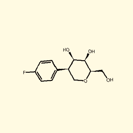 OC[C@H]1OC[C@@H](c2ccc(F)cc2)[C@@H](O)[C@H]1O